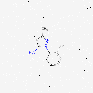 Cc1cc(N)n(-c2ccccc2C(C)C)n1